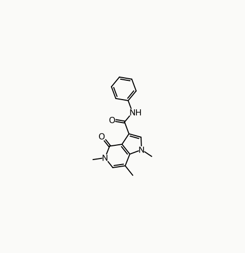 Cc1cn(C)c(=O)c2c(C(=O)Nc3ccccc3)cn(C)c12